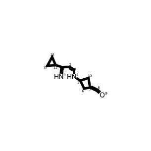 N=C(/C=C\NC1CC(=C=O)C1)C1CC1